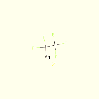 FC(F)(F)[C](F)(F)[Ag].[S-2]